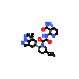 Cc1cc([C@H]2CC[C@H](C)CN2C(=O)C(=O)Nc2ncccc2C(N)=O)cc2cn[nH]c12